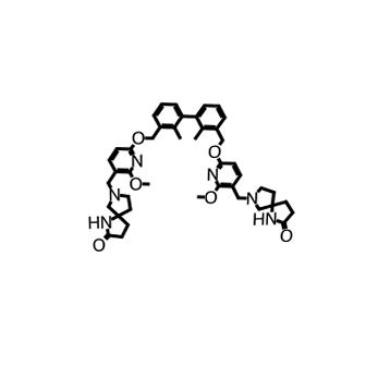 COc1nc(OCc2cccc(-c3cccc(COc4ccc(CN5CCC6(CCC(=O)N6)C5)c(OC)n4)c3C)c2C)ccc1CN1CCC2(CCC(=O)N2)C1